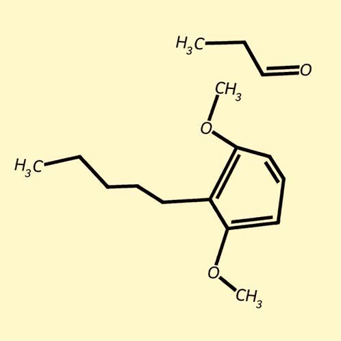 CCC=O.CCCCCc1c(OC)cccc1OC